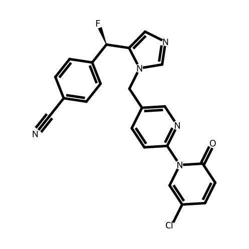 N#Cc1ccc([C@@H](F)c2cncn2Cc2ccc(-n3cc(Cl)ccc3=O)nc2)cc1